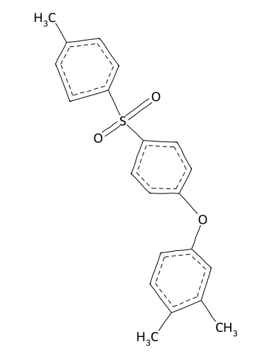 Cc1ccc(S(=O)(=O)c2ccc(Oc3ccc(C)c(C)c3)cc2)cc1